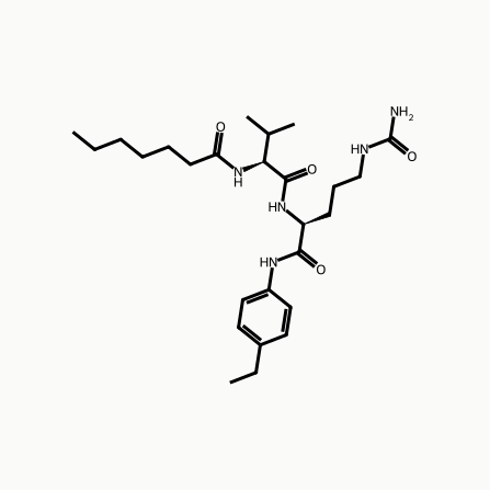 CCCCCCC(=O)N[C@H](C(=O)N[C@@H](CCCNC(N)=O)C(=O)Nc1ccc(CC)cc1)C(C)C